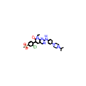 CCn1c(=O)c(-c2ccc(S(C)(=O)=O)cc2Cl)cc2cnc(Nc3ccc(N4CCN(C(C)C)CC4)cc3)nc21